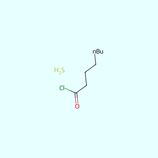 CCCCCCCC(=O)Cl.S